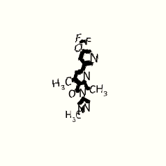 Cc1cc(-c2cncc(OC(F)F)c2)nc2c1C(=O)N(c1cnn(C)c1)C2C